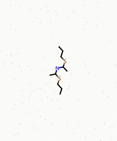 CCCSC(C)[N]C(C)SCCC